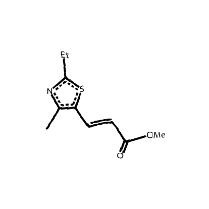 CCc1nc(C)c(C=CC(=O)OC)s1